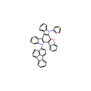 c1ccc(-n2c3ccccc3c3c4c5ccccc5n(-c5ccc6c7c(cccc57)-c5ccccc5-6)c4c4c5ccccc5oc4c32)cc1